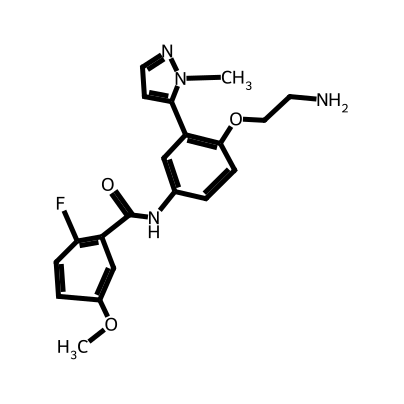 COc1ccc(F)c(C(=O)Nc2ccc(OCCN)c(-c3ccnn3C)c2)c1